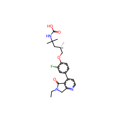 CCN1Cc2nccc(-c3ccc(OC[C@@H](C)CC(C)(C)NC(=O)O)c(F)c3)c2C1=O